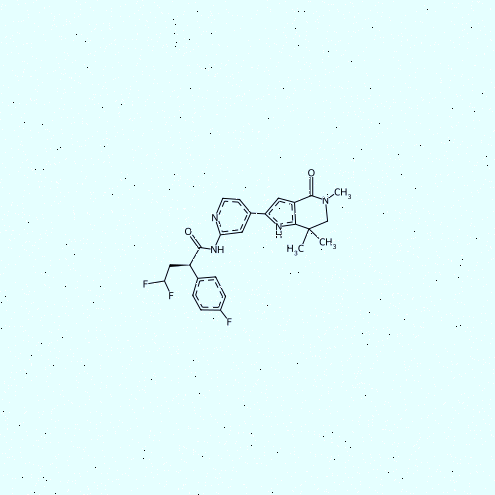 CN1CC(C)(C)c2[nH]c(-c3ccnc(NC(=O)[C@H](CC(F)F)c4ccc(F)cc4)c3)cc2C1=O